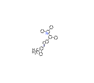 CC1(C)c2ccccc2-c2cc(/C=C3\C=Cc4cc(-c5cc(-c6ccccc6)cc(-c6cc(-c7ccccc7)cc(-c7ccccc7)n6)c5)ccc43)ccc21